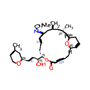 C=C1CC(=NOC)/C=C/C[C@@H]([C@@H](O)/C=C/[C@@H]2CC(C)=CCO2)OC(=O)/C=C\C[C@@H]2C=CC[C@@H](C[C@@H](C)C1)O2